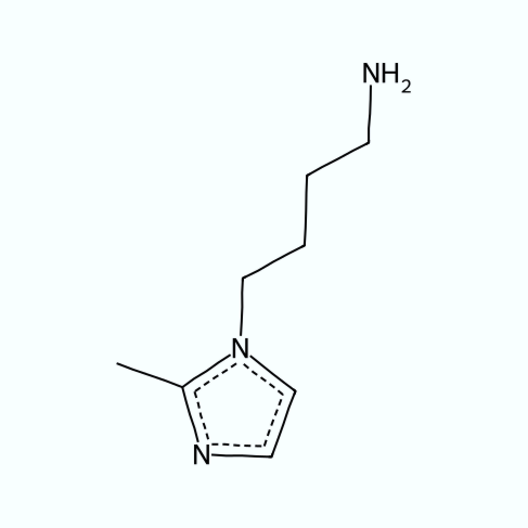 Cc1nccn1CCCCN